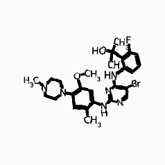 COc1cc(Nc2ncc(Br)c(Nc3cccc(F)c3C(C)(C)O)n2)c(C)cc1N1CCN(C)CC1